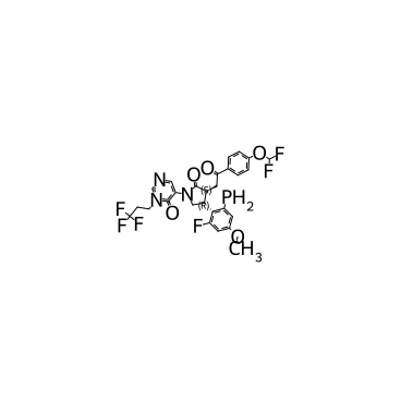 COc1cc(F)c([C@@H]2CN(c3cncn(CCC(F)(F)F)c3=O)C(=O)[C@H]2CC(=O)c2ccc(OC(F)F)cc2)c(P)c1